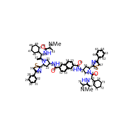 C=C(N[C@H](C(=O)N1C[C@@H](NC(=O)c2ccc3cc(C(=O)N[C@H]4C[C@@H](c5nc(-c6ccccc6)cs5)N(C(=C)[C@@H](NC(=O)[C@H](C)NC)C5CCCCC5)C4)ccc3c2)C[C@H]1c1nc(-c2ccccc2)cs1)C1CCCCC1)[C@H](C)NC